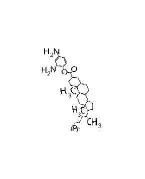 CC(C)CCCC(C)C1CCC2C3CC=C4CC(C(=O)Oc5ccc(N)cc5N)CCC4(C)C3CCC12C